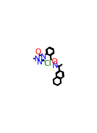 CC(=NOCc1ccccc1-n1c(Cl)nn(C)c1=O)c1ccc2c(c1)CCCC2